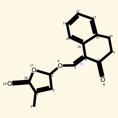 CC1=CC(O/C=C2/C(=O)CCc3ccccc32)OC1=O